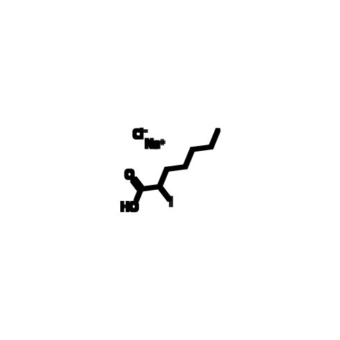 CCCCCC(I)C(=O)O.[Cl-].[Na+]